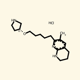 Cc1cc2c(nc1CCCCCO[C@@H]1CCNC1)NCCC2.Cl